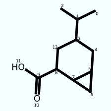 CC(C)C1CC2CC2C(C(=O)O)C1